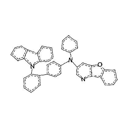 c1ccc(N(c2ccc(-c3ccccc3-n3c4ccccc4c4ccccc43)cc2)c2cnc3c(c2)oc2ccccc23)cc1